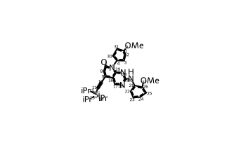 COc1ccc(-n2c(=O)cc(C#C[Si](C(C)C)(C(C)C)C(C)C)c3cnc(Nc4ccccc4OC)nc32)cc1